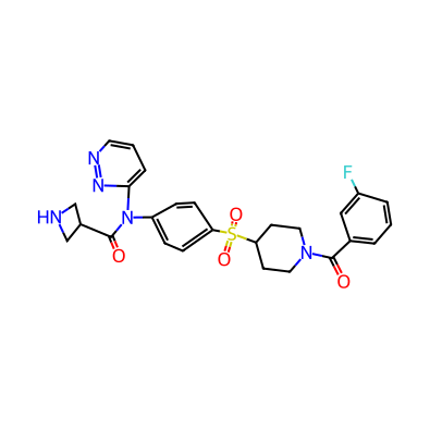 O=C(c1cccc(F)c1)N1CCC(S(=O)(=O)c2ccc(N(C(=O)C3CNC3)c3cccnn3)cc2)CC1